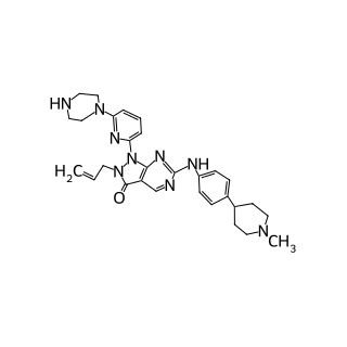 C=CCn1c(=O)c2cnc(Nc3ccc(C4CCN(C)CC4)cc3)nc2n1-c1cccc(N2CCNCC2)n1